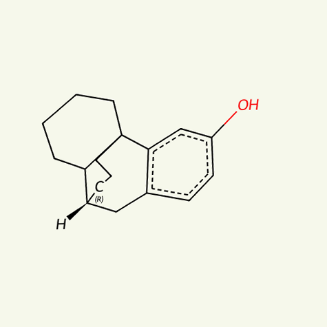 Oc1ccc2c(c1)C13CCCCC1[C@H](CCC3)C2